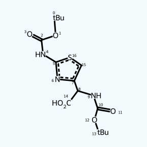 CC(C)(C)OC(=O)Nc1nc(C(NC(=O)OC(C)(C)C)C(=O)O)cs1